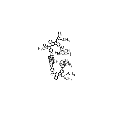 CCCCC(CC)Cn1c2ccc(C(CC(C)CC(C)(C)C)=NO)cc2c2cc(C(=O)c3ccc(OCC(F)(F)C(F)(F)C(F)(F)C(F)(F)COc4ccc(C(=NOC(C)=O)c5cc6c7cc(C(=O)CC(C)CC(C)(C)C)ccc7n(CC(CC)CCCC)c6c6ccccc56)cc4)cc3)c3ccccc3c21